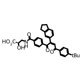 CC(C)(C)c1ccc(C(=O)/C=C(\C(=O)c2ccc(C(=O)NC[C@@H](O)C(=O)O)cc2)c2ccc3c(c2)CCC3)cc1